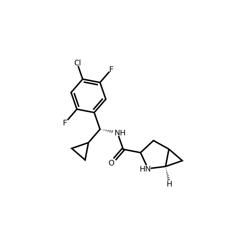 O=C(N[C@@H](c1cc(F)c(Cl)cc1F)C1CC1)C1CC2C[C@H]2N1